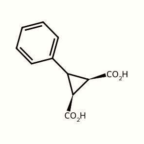 O=C(O)[C@@H]1C(c2ccccc2)[C@@H]1C(=O)O